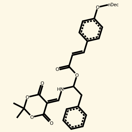 CCCCCCCCCCOc1ccc(C=CC(=O)OC(Cc2ccccc2)NC=C2C(=O)OC(C)(C)OC2=O)cc1